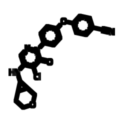 N#Cc1ccc(Oc2ccc(-n3ncc(NC4C5CCOCC54)c(Cl)c3=O)cc2)cc1